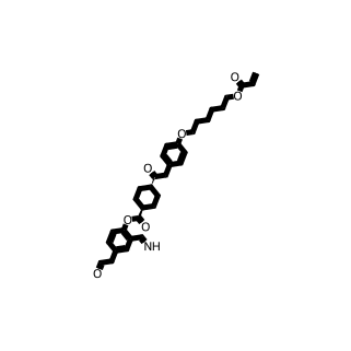 C=CC(=O)OCCCCCCOc1ccc(CC(=O)[C@H]2CC[C@H](C(=O)Oc3ccc(CC=O)cc3C=N)CC2)cc1